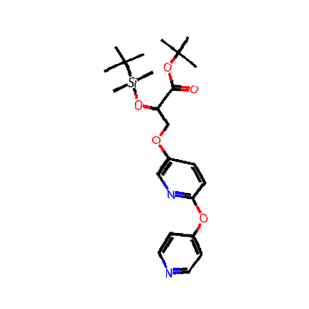 CC(C)(C)OC(=O)C(COc1ccc(Oc2ccncc2)nc1)O[Si](C)(C)C(C)(C)C